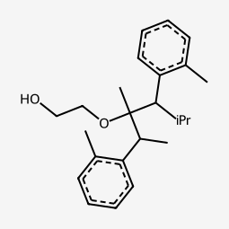 Cc1ccccc1C(C)C(C)(OCCO)C(c1ccccc1C)C(C)C